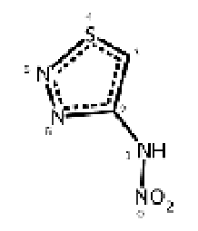 O=[N+]([O-])Nc1csnn1